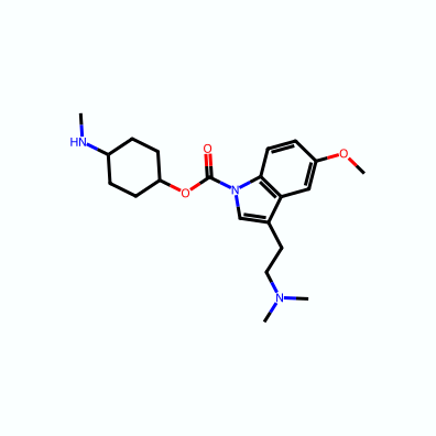 CNC1CCC(OC(=O)n2cc(CCN(C)C)c3cc(OC)ccc32)CC1